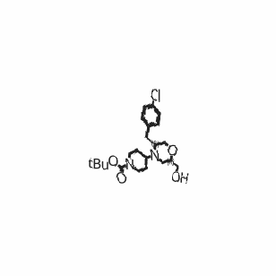 CC(C)(C)OC(=O)N1CCC(N2C[C@H](CO)OC[C@@H]2Cc2ccc(Cl)cc2)CC1